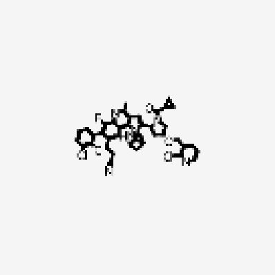 Cc1nc2c(F)c(-c3cccc(Cl)c3Cl)c(CCC#N)cc2c2c1cc(C1CC(OCc3cccnc3Cl)CN1C(=O)C1CC1)n2C1C2CNC1C2